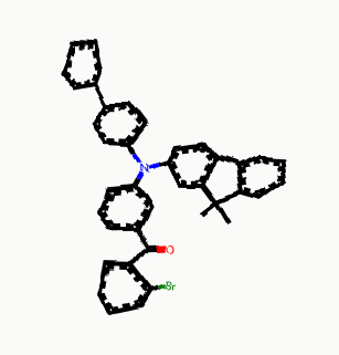 CC1(C)c2ccccc2-c2ccc(N(c3ccc(-c4ccccc4)cc3)c3cccc(C(=O)c4ccccc4Br)c3)cc21